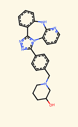 OC1CCCN(Cc2ccc(-c3nnc4n3-c3cccnc3Nc3ccccc3-4)cc2)C1